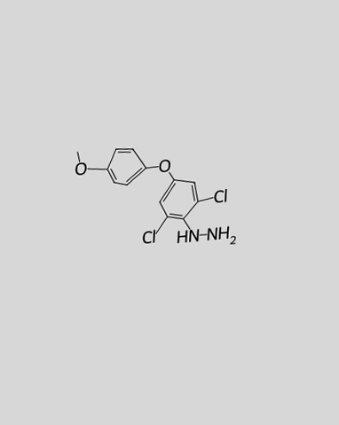 COc1ccc(Oc2cc(Cl)c(NN)c(Cl)c2)cc1